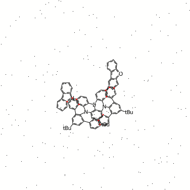 CC(C)(C)c1cc(-c2ccccc2)c(N2c3cc(-c4ccc5oc6ccccc6c5c4)ccc3B3c4ccc(-n5c6ccccc6c6ccccc65)cc4N(c4c(-c5ccccc5)cc(C(C)(C)C)cc4-c4ccccc4)c4cc(C(C)(C)C)cc2c43)c(-c2ccccc2)c1